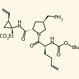 C=CCC[C@H](NC(=O)OC(C)(C)C)C(=O)N1C[C@H](CP)C[C@H]1C(=O)N[C@]1(C(=O)OCC)C[C@H]1C=C